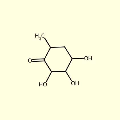 CC1CC(O)C(O)C(O)C1=O